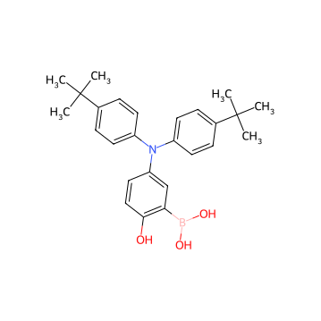 CC(C)(C)c1ccc(N(c2ccc(C(C)(C)C)cc2)c2ccc(O)c(B(O)O)c2)cc1